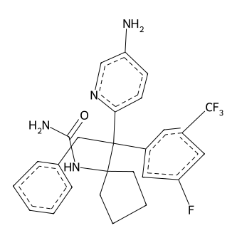 NC(=O)NC1(C(Cc2ccccc2)(c2cc(F)cc(C(F)(F)F)c2)c2ccc(N)cn2)CCCC1